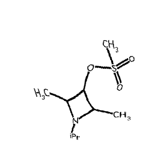 CC(C)N1C(C)C(OS(C)(=O)=O)C1C